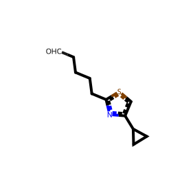 O=CCCCCc1nc(C2CC2)cs1